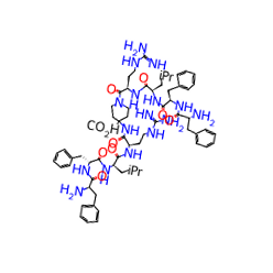 CC(C)C[C@@H](NC(=O)[C@@H](Cc1ccccc1)NC(=O)[C@H](N)Cc1ccccc1)C(=O)N[C@H](CCNC(=N)N)C(=O)NC1(C(=O)O)CCN(C(=O)[C@@H](CCNC(=N)N)NC(=O)[C@@H](CC(C)C)NC(=O)[C@@H](Cc2ccccc2)NC(=O)[C@H](N)Cc2ccccc2)CC1